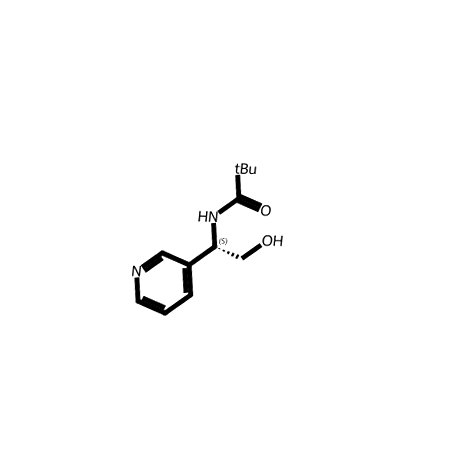 CC(C)(C)C(=O)N[C@H](CO)c1cccnc1